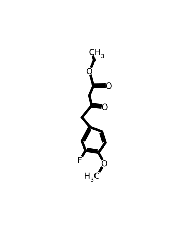 CCOC(=O)CC(=O)Cc1ccc(OC)c(F)c1